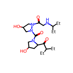 CCC(CC)NCC(=O)N1CC(O)CN1C(=O)N1CC(O)CC1C(=O)C(CC)CC